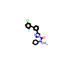 CN(C(=O)N1C=NC(c2cccc(-c3cc(Cl)ccc3F)c2)C1)C1CCCCC1